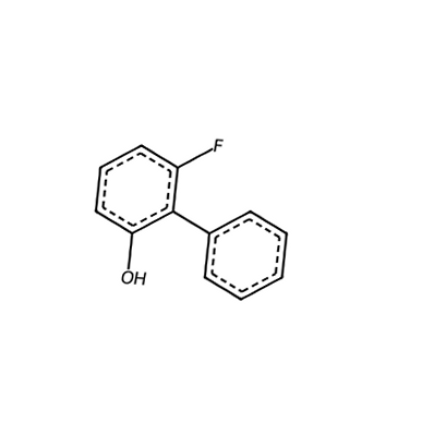 Oc1cccc(F)c1-c1ccccc1